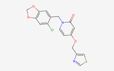 O=c1cc(OCc2cscn2)ccn1Cc1cc2c(cc1Cl)OCO2